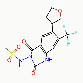 CS(=O)(=O)Nn1c(=O)[nH]c2cc(C(F)(F)F)c(C3CCOC3)cc2c1=O